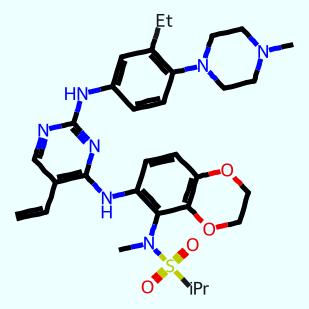 C=Cc1cnc(Nc2ccc(N3CCN(C)CC3)c(CC)c2)nc1Nc1ccc2c(c1N(C)S(=O)(=O)C(C)C)OCCO2